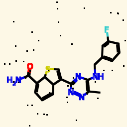 Cc1nnc(C2=CSC3C(C(N)=O)=CC=CC23)nc1NCc1cccc(F)c1